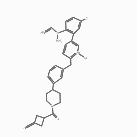 N=CN(N)c1ccc(Cl)cc1-c1ccc(Cc2cccc(C3CCN(C(=O)C4CC(=O)C4)CC3)c2)[n+](O)c1